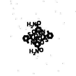 Cc1cccc2sc(C(=O)O)c(-c3nc4cc(C(N)=O)ccc4n3CCn3c(-c4c(C(=O)O)sc5cccc(C)c45)nc4cc(C(N)=O)ccc43)c12